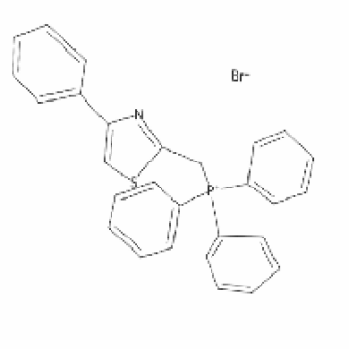 [Br-].c1ccc(-c2csc(C[P+](c3ccccc3)(c3ccccc3)c3ccccc3)n2)cc1